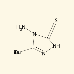 CCC(C)c1n[nH]c(=S)n1N